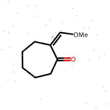 CO/C=C1/CCCCCC1=O